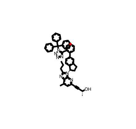 CCCc1nc2c(C)cc(C#C[C@@H](C)O)nc2n1[C@H]1CCc2cc(-c3ccccc3-c3nnnn3C(c3ccccc3)(c3ccccc3)c3ccccc3)ccc21